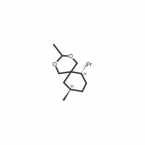 CC1OCC2(CO1)C[C@H](C)CC[C@H]2C(C)C